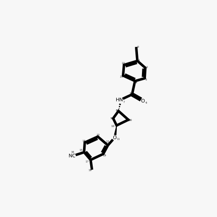 Cc1ccc(C(=O)N[C@H]2C[C@H](Oc3ccc(C#N)c(C)c3)C2)cc1